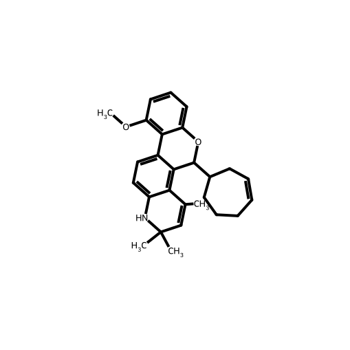 COc1cccc2c1-c1ccc3c(c1C(C1CC=CCCC1)O2)C(C)=CC(C)(C)N3